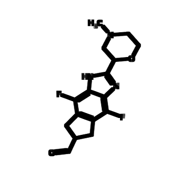 CN1CCOC(c2nc3c(F)c4c(c(F)c3[nH]2)CC(C=O)C4)C1